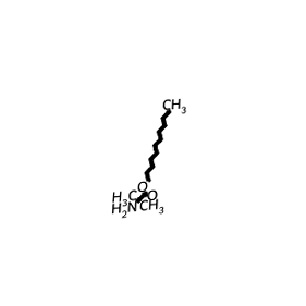 CCCCCCCCCCCCOC(=O)C(C)(C)N